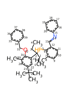 CCC(CC)(Pc1c(C)cccc1/C=N/c1ccccc1)c1cc(C(C)(C)C)cc(C)c1OCc1ccccc1